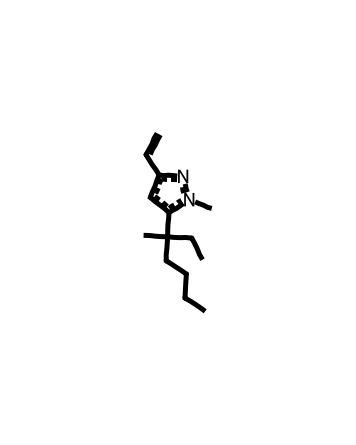 C=Cc1cc(C(C)(CC)CCCC)n(C)n1